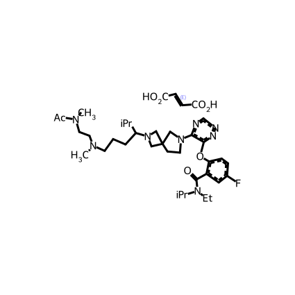 CCN(C(=O)c1cc(F)ccc1Oc1nncnc1N1CCC2(C1)CN(C(CCCN(C)CCN(C)C(C)=O)C(C)C)C2)C(C)C.O=C(O)/C=C/C(=O)O